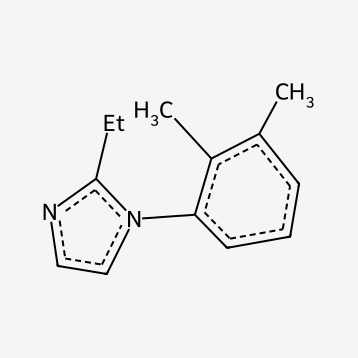 CCc1nccn1-c1cccc(C)c1C